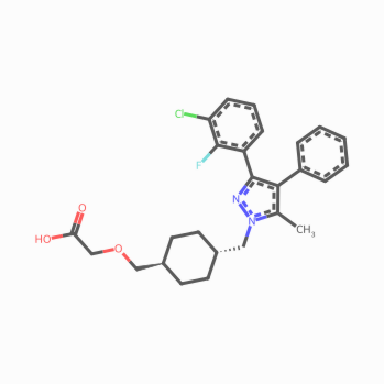 Cc1c(-c2ccccc2)c(-c2cccc(Cl)c2F)nn1C[C@H]1CC[C@H](COCC(=O)O)CC1